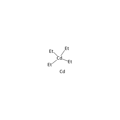 C[CH2][Cd]([CH2]C)([CH2]C)[CH2]C.[Cd]